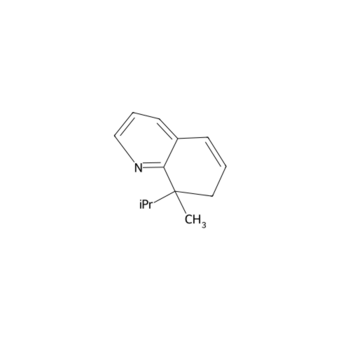 CC(C)C1(C)CC=Cc2cccnc21